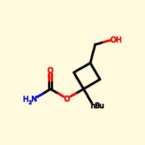 CCCCC1(OC(N)=O)CC(CO)C1